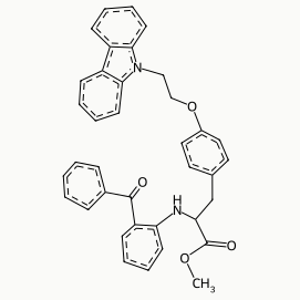 COC(=O)C(Cc1ccc(OCCn2c3ccccc3c3ccccc32)cc1)Nc1ccccc1C(=O)c1ccccc1